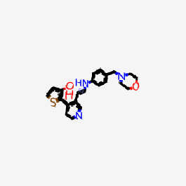 Oc1ccsc1-c1ccncc1/C=C/Nc1ccc(CN2CCOCC2)cc1